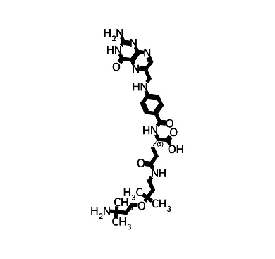 CC(C)(N)CCOC(C)(C)CCNC(=O)CC[C@H](NC(=O)c1ccc(NCc2cnc3nc(N)[nH]c(=O)c3n2)cc1)C(=O)O